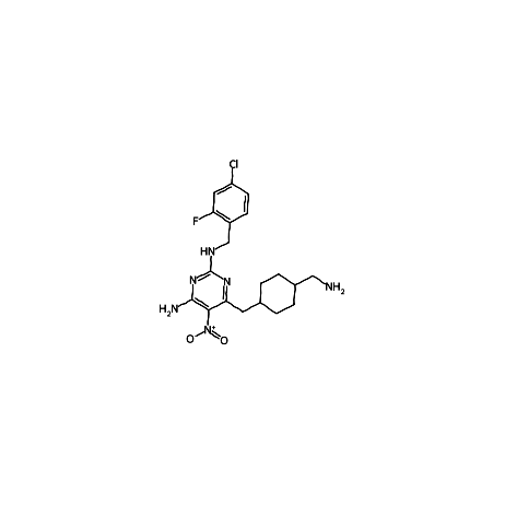 NCC1CCC(Cc2nc(NCc3ccc(Cl)cc3F)nc(N)c2[N+](=O)[O-])CC1